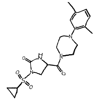 Cc1ccc(C)c(N2CCN(C(=O)C3CN(S(=O)(=O)C4CC4)C(=O)N3)CC2)c1